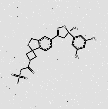 CS(=O)(=O)CC(=O)N1CC2(C1)OCc1cc(C3=NOC(c4cc(C(F)(F)F)cc(C(F)(F)F)c4)(C(F)(F)F)C3)ccc12